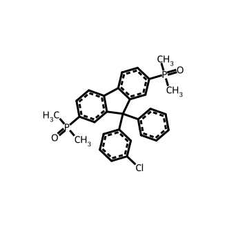 CP(C)(=O)c1ccc2c(c1)C(c1ccccc1)(c1cccc(Cl)c1)c1cc(P(C)(C)=O)ccc1-2